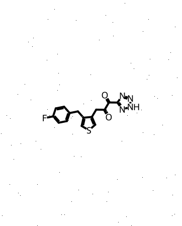 O=C(Cc1cscc1Cc1ccc(F)cc1)C(=O)c1nn[nH]n1